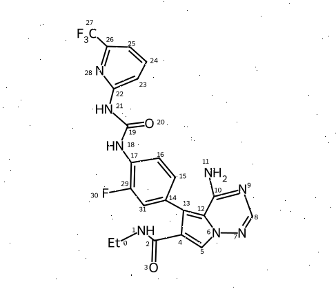 CCNC(=O)c1cn2ncnc(N)c2c1-c1ccc(NC(=O)Nc2cccc(C(F)(F)F)n2)c(F)c1